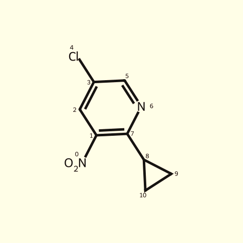 O=[N+]([O-])c1cc(Cl)cnc1C1CC1